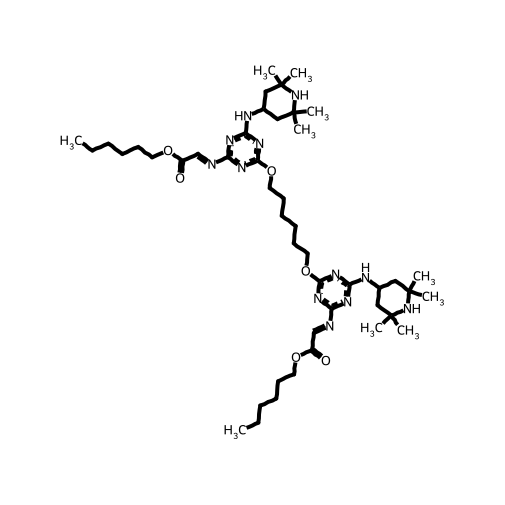 CCCCCCOC(=O)C=Nc1nc(NC2CC(C)(C)NC(C)(C)C2)nc(OCCCCCCOc2nc(N=CC(=O)OCCCCCC)nc(NC3CC(C)(C)NC(C)(C)C3)n2)n1